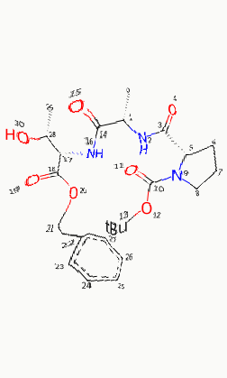 C[C@H](NC(=O)[C@@H]1CCCN1C(=O)OC(C)(C)C)C(=O)N[C@H](C(=O)OCc1ccccc1)[C@@H](C)O